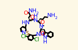 CN1C(=O)[C@H](CCCCN)NC(=O)[C@H](CCC(N)=O)NCc2cccnc2Sc2c(Cl)ccc(Cl)c2CNC(=O)[C@@H]1Cc1c[nH]c2ccccc12